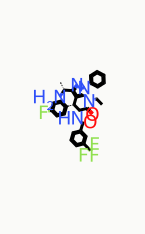 CCN1C(=O)[C@H](NC(=O)c2cccc(C(F)(F)F)c2)[C@H](c2ccc(F)cc2)c2c([C@@H](C)N)nn(-c3ccccc3)c21